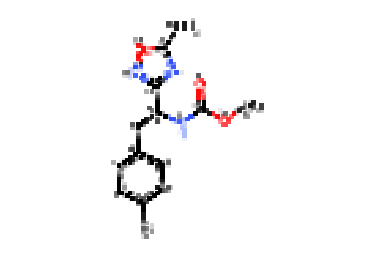 CCc1ccc(C[C@H](NC(=O)OC(C)(C)C)c2noc(C(Cl)(Cl)Cl)n2)cc1